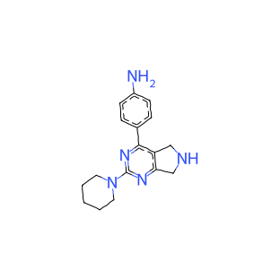 Nc1ccc(-c2nc(N3CCCCC3)nc3c2CNC3)cc1